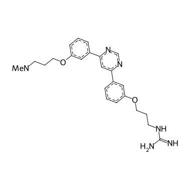 CNCCCOc1cccc(-c2cc(-c3cccc(OCCCNC(=N)N)c3)ncn2)c1